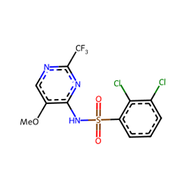 COc1cnc(C(F)(F)F)nc1NS(=O)(=O)c1cccc(Cl)c1Cl